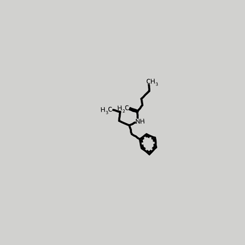 C=C(CCCC)NC(CCC)Cc1ccccc1